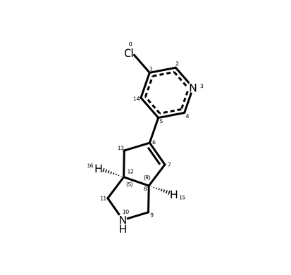 Clc1cncc(C2=C[C@H]3CNC[C@H]3C2)c1